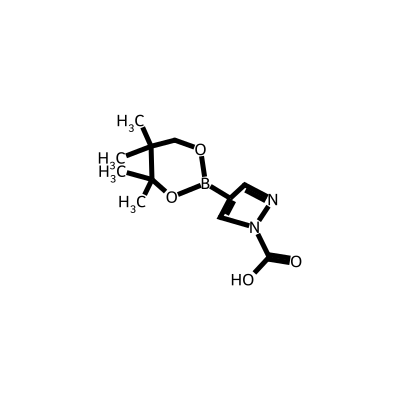 CC1(C)COB(c2cnn(C(=O)O)c2)OC1(C)C